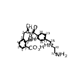 CB(Cc1cccc(C(=O)O)c1O)NC(=O)c1ccc(CNCCN)cc1